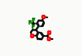 COC(=O)c1ccc2c(c1)C(c1ccc(OC)cc1C(F)(F)F)=CCO2